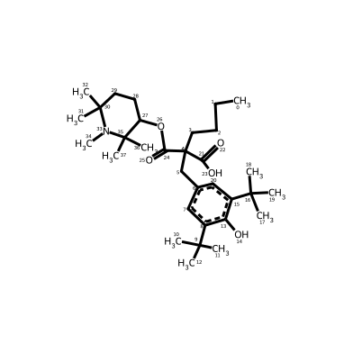 CCCCC(Cc1cc(C(C)(C)C)c(O)c(C(C)(C)C)c1)(C(=O)O)C(=O)OC1CCC(C)(C)N(C)C1(C)C